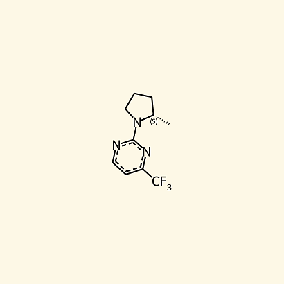 C[C@H]1CCCN1c1nccc(C(F)(F)F)n1